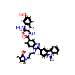 CCn1c2ccccc2c2cc(-c3nc4cc(C(=O)N[C@@H](Cc5ccc(O)cc5)C(N)=O)ccc4n3CCCN3CCCC3=O)ccc21